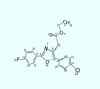 CCOC(=O)Cc1nc(-c2ccc(F)cc2)oc1-c1ccc(Cl)cc1